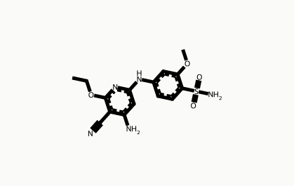 CCOc1nc(Nc2ccc(S(N)(=O)=O)c(OC)c2)cc(N)c1C#N